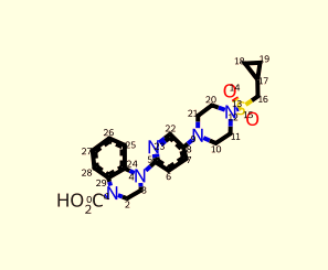 O=C(O)N1CCN(c2ccc(N3CCN(S(=O)(=O)CC4CC4)CC3)cn2)c2ccccc21